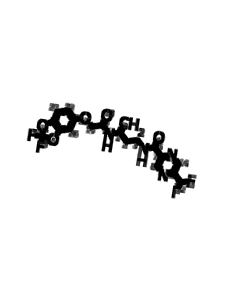 C=C(CCNC(=O)c1cnc(C(F)F)cn1)NC(=O)COc1ccc2c(c1)OC(F)(F)O2